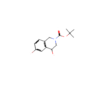 CC(C)(C)OC(=O)N1Cc2ccc(Br)cc2C(O)C1